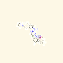 Cc1c(F)ccc(Nc2nc(Nc3ccc4c(c3)CC[C@@H](N3CCCC3)CC4)ncc2Cl)c1P(C)(C)=O